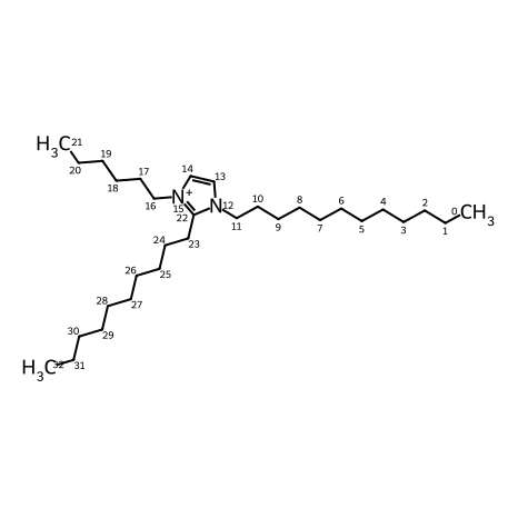 CCCCCCCCCCCCn1cc[n+](CCCCCC)c1CCCCCCCCCC